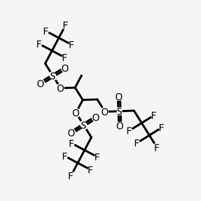 CC(OS(=O)(=O)CC(F)(F)C(F)(F)F)C(COS(=O)(=O)CC(F)(F)C(F)(F)F)OS(=O)(=O)CC(F)(F)C(F)(F)F